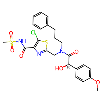 COc1ccc([C@@H](O)C(=O)N(CCCc2ccccc2)Cc2nc(C(=O)NS(C)(=O)=O)c(Cl)s2)cc1